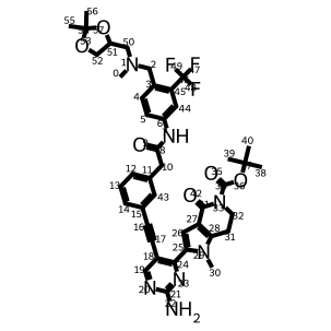 CN(Cc1ccc(NC(=O)Cc2cccc(C#Cc3cnc(N)nc3-c3cc4c(n3C)CCN(C(=O)OC(C)(C)C)C4=O)c2)cc1C(F)(F)F)CC1COC(C)(C)O1